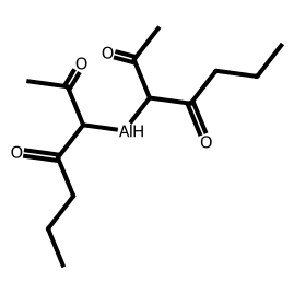 CCCC(=O)[CH]([AlH][CH](C(C)=O)C(=O)CCC)C(C)=O